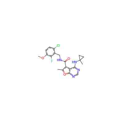 COc1ccc(Cl)c(CNC(=O)c2c(C)oc3ncnc(NC4(C)CC4)c23)c1F